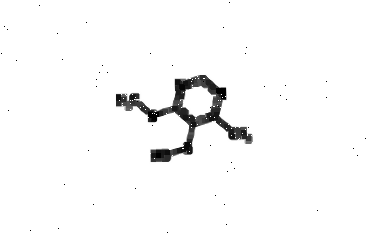 CSc1ncnc(C)c1SO